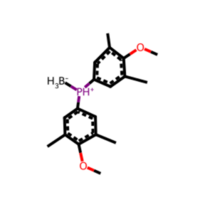 [BH3-][PH+](c1cc(C)c(OC)c(C)c1)c1cc(C)c(OC)c(C)c1